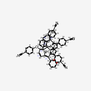 N#Cc1ccc(OC2=C\C3(/C=C(Oc4ccc(C#N)cc4)/C=C\C(N)=C(/c4ccccc4)c4ccc(Oc5ccc(C#N)cc5)n43)n3c(Oc4ccc(C#N)cc4)ccc3/C(c3ccccc3)=C(N)/C=C\2)cc1